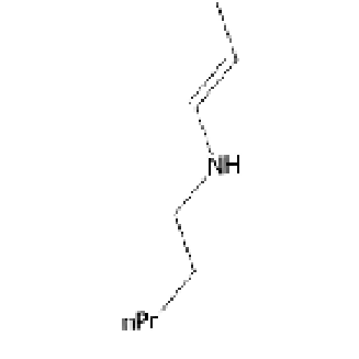 C/C=C/NCCCCC